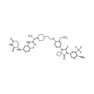 CCc1cc(N2C(=S)N(c3cnc(C#N)c(C(F)(F)F)c3)C(=O)C23CCC3)ccc1OCCC1CCN([C@@H](C)C(=O)Nc2cc(NC3CCC(=O)NC3=O)ccc2F)CC1